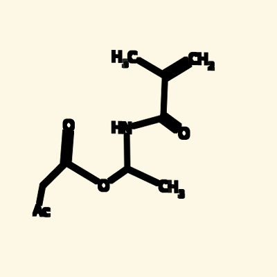 C=C(C)C(=O)NC(C)OC(=O)CC(C)=O